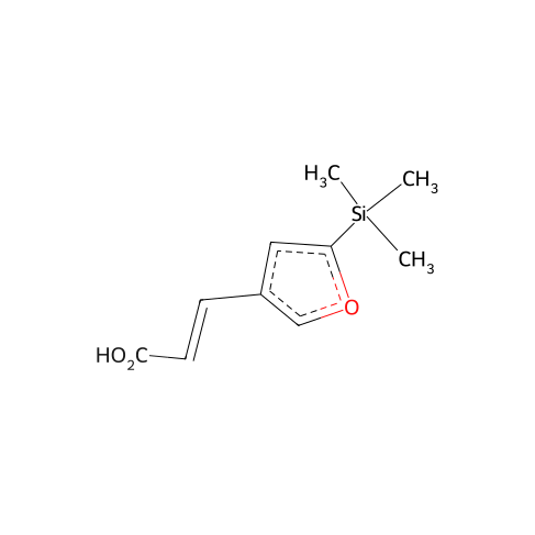 C[Si](C)(C)c1cc(/C=C/C(=O)O)co1